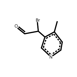 Cc1ccncc1C(Br)C=O